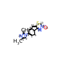 Cc1cn(C2=CCC3C(=C2)C=C2SC[N+](=O)N=C23)c(C)n1